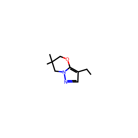 CCc1cnn2c1OCC(C)(C)C2